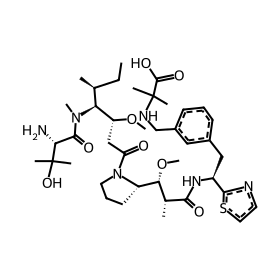 CC[C@H](C)[C@@H]([C@@H](CC(=O)N1CCC[C@H]1[C@H](OC)[C@@H](C)C(=O)N[C@@H](Cc1cccc(CNC(C)(C)C(=O)O)c1)c1nccs1)OC)N(C)C(=O)[C@@H](N)C(C)(C)O